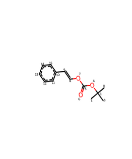 CC(C)(C)OC(=O)OC=Cc1ccccc1